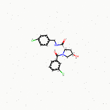 O=C(NCc1ccc(Cl)cc1)[C@@H]1C[C@@H](O)CN1C(=O)c1cccc(Cl)c1